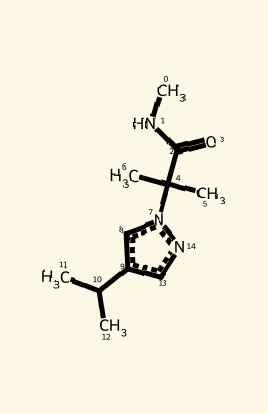 CNC(=O)C(C)(C)n1cc(C(C)C)cn1